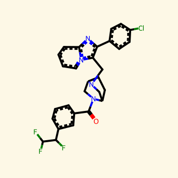 O=C(c1cccc(C(F)C(F)F)c1)N1CC2CCC1CN2Cc1c(-c2ccc(Cl)cc2)nc2ccccn12